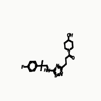 CC(C)(CNc1nc(CCC(=O)N2CCC(O)CC2)ns1)c1ccc(F)cc1